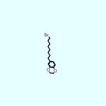 BrCCCCCCCCc1ccc2c(c1)OCCO2